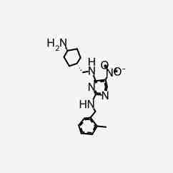 Cc1ccccc1CNc1ncc([N+](=O)[O-])c(NC[C@H]2CC[C@H](N)CC2)n1